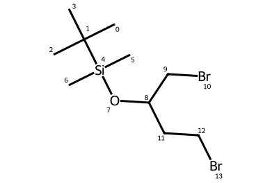 CC(C)(C)[Si](C)(C)OC(CBr)CCBr